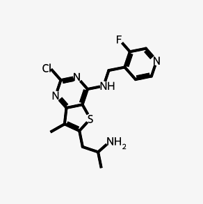 Cc1c(CC(C)N)sc2c(NCc3ccncc3F)nc(Cl)nc12